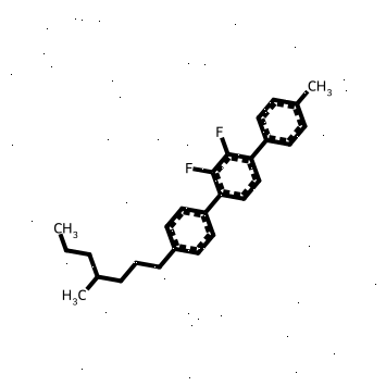 CCCC(C)CCCc1ccc(-c2ccc(-c3ccc(C)cc3)c(F)c2F)cc1